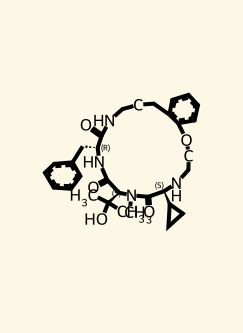 CN1C(=O)[C@H](C2CC2)NCCOc2ccccc2CCCNC(=O)[C@@H](Cc2ccccc2)NC(=O)[C@@H]1C(C)(C)O